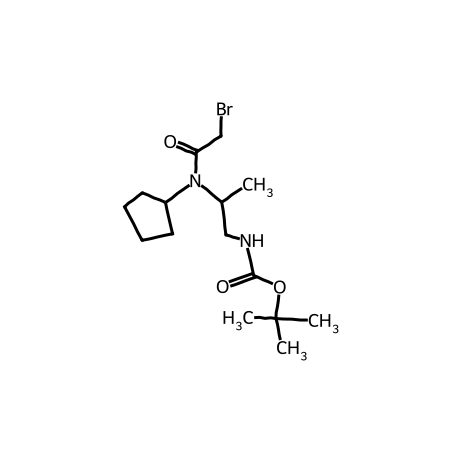 CC(CNC(=O)OC(C)(C)C)N(C(=O)CBr)C1CCCC1